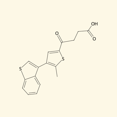 Cc1sc(C(=O)CCC(=O)O)cc1-c1csc2ccccc12